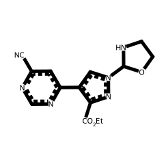 CCOC(=O)c1nn(C2NCCO2)cc1-c1cc(C#N)ncn1